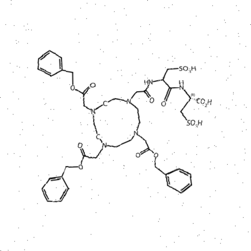 O=C(CN1CCN(CC(=O)OCc2ccccc2)CCN(CC(=O)OCc2ccccc2)CCN(CC(=O)OCc2ccccc2)CC1)NC(CS(=O)(=O)O)C(=O)N[C@@H](CS(=O)(=O)O)C(=O)O